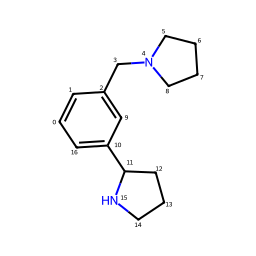 c1cc(CN2CCCC2)cc(C2CCCN2)c1